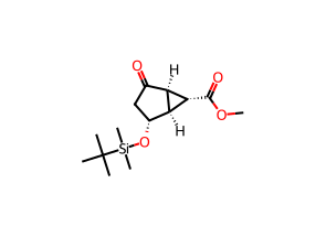 COC(=O)[C@H]1[C@@H]2C(=O)C[C@@H](O[Si](C)(C)C(C)(C)C)[C@@H]21